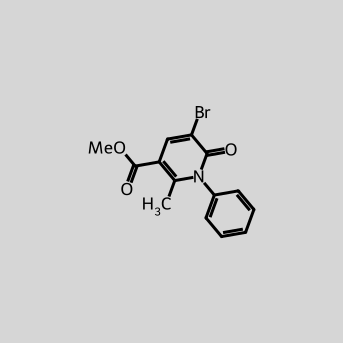 COC(=O)c1cc(Br)c(=O)n(-c2ccccc2)c1C